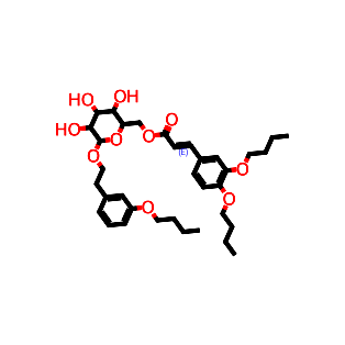 CCCCOc1cccc(CCOC2OC(COC(=O)/C=C/c3ccc(OCCCC)c(OCCCC)c3)C(O)C(O)C2O)c1